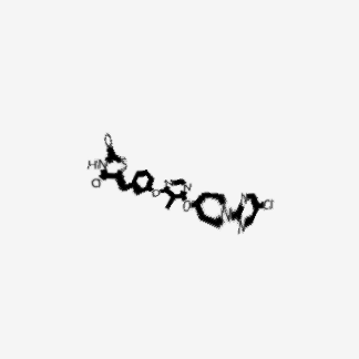 Cc1c(Oc2cccc(/C=C3\SC(=O)NC3=O)c2)ncnc1OC1CCN(c2ncc(Cl)cn2)CC1